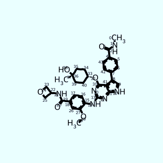 CNC(=O)c1ccc(-c2c[nH]c3nc(Nc4ccc(C(=O)NC5COC5)cc4OC)nc(O[C@H]4CC[C@@](C)(O)CC4)c23)cc1